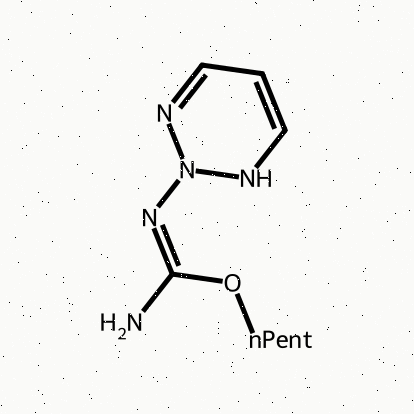 CCCCCO/C(N)=N\N1N=CC=CN1